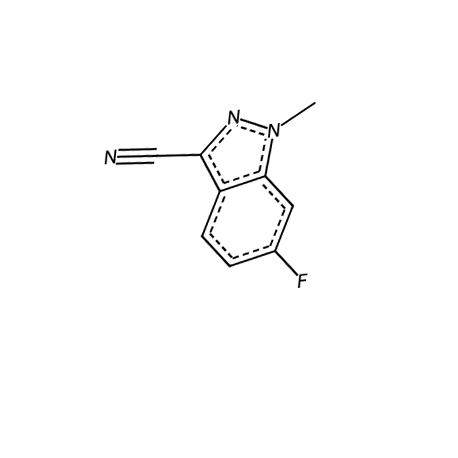 Cn1nc(C#N)c2ccc(F)cc21